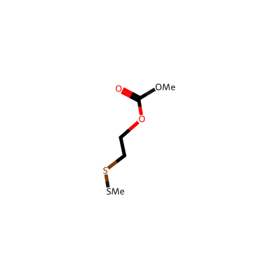 COC(=O)OCCSSC